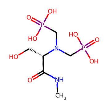 CNC(=O)[C@H](CO)N(CP(=O)(O)O)CP(=O)(O)O